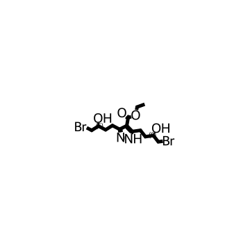 CCOC(=O)c1c(CC[C@H](O)CBr)n[nH]c1CC[C@H](O)CBr